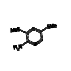 CSc1ccc(N)c(SC)c1